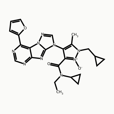 CCN(C(=O)c1c(-n2cnn3c4c(-c5ccco5)ncnc4nc23)c(C)n(CC2CC2)[n+]1[O-])C1CC1